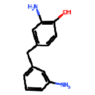 Nc1cccc(Cc2ccc(O)c(N)c2)c1